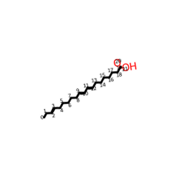 CCC=CCCCCCC=CC=CCCCCCCC(=O)O